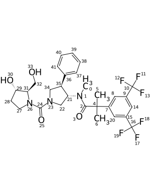 CN(C(=O)C(C)(C)c1cc(C(F)(F)F)cc(C(F)(F)F)c1)[C@@H]1CN(C(=O)N2CC[C@H](O)[C@H]2CO)C[C@H]1c1ccccc1